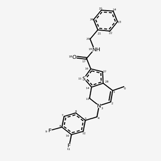 CC1=CN(Cc2ccc(F)c(F)c2)Cc2sc(C(=O)NCc3ccccc3)cc21